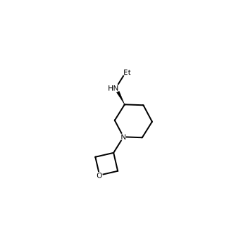 CCN[C@H]1CCCN(C2COC2)C1